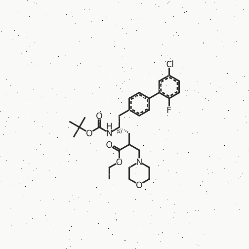 CCOC(=O)C(C[C@@H](Cc1ccc(-c2cc(Cl)ccc2F)cc1)NC(=O)OC(C)(C)C)CN1CCOCC1